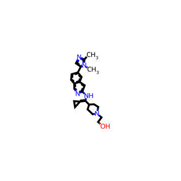 Cc1ncc(-c2ccc3cnc(NC(=C4CC4)C4CCN(CCO)CC4)cc3c2)n1C